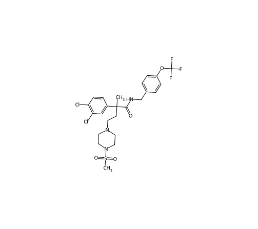 CC(CCN1CCN(S(C)(=O)=O)CC1)(C(=O)NCc1ccc(OC(F)(F)F)cc1)c1ccc(Cl)c(Cl)c1